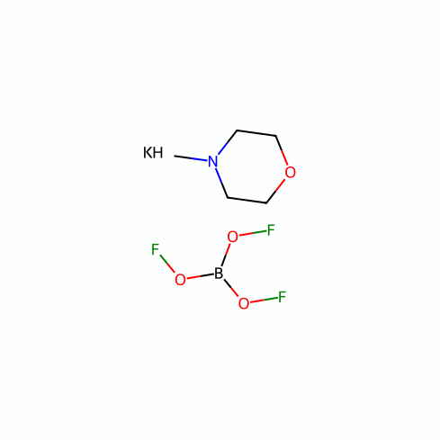 CN1CCOCC1.FOB(OF)OF.[KH]